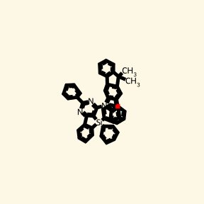 CC1(C)c2ccccc2-c2cc3c(cc21)c1ccccc1n3-c1nc(-c2ccccc2)nc2c1[Si](c1ccccc1)(c1ccccc1)c1ccccc1-2